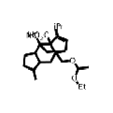 CCOC(C)OCC12CC3C(C)CCC3C3(C#N)CC1C=C(C(C)C)C32C(=O)O